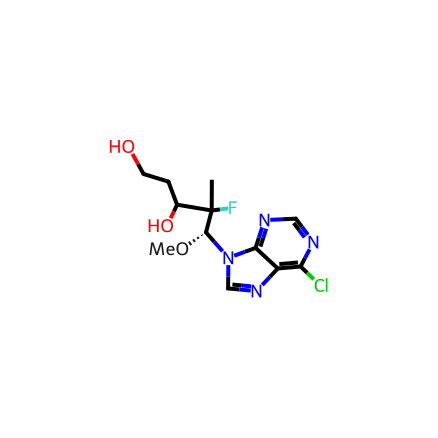 CO[C@@H](n1cnc2c(Cl)ncnc21)C(C)(F)C(O)CCO